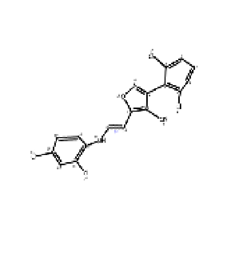 N#Cc1c(-c2c(Cl)cccc2Cl)noc1/C=C/Nc1ccc(Cl)cc1Cl